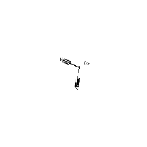 N#CSC#N.[Co]